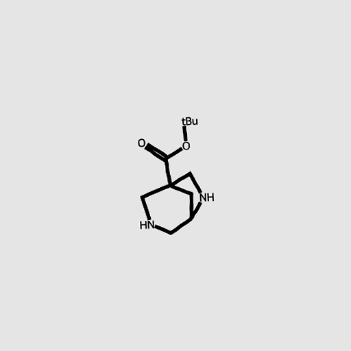 CC(C)(C)OC(=O)C12CNCC(C1)NC2